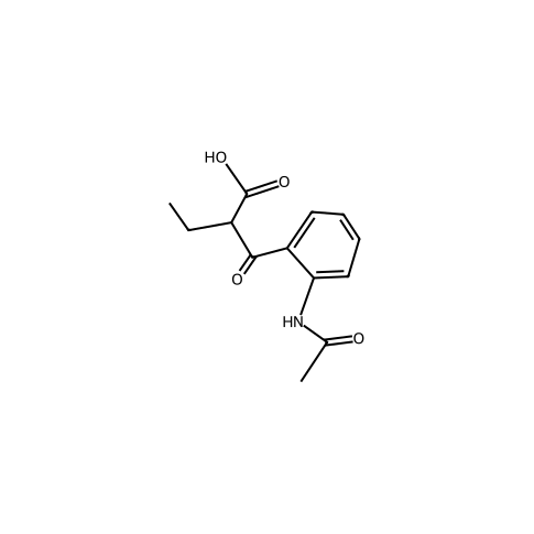 CCC(C(=O)O)C(=O)c1ccccc1NC(C)=O